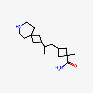 CC(CC1CC(C)(C(N)=O)C1)C1CC2(CCNCC2)C1